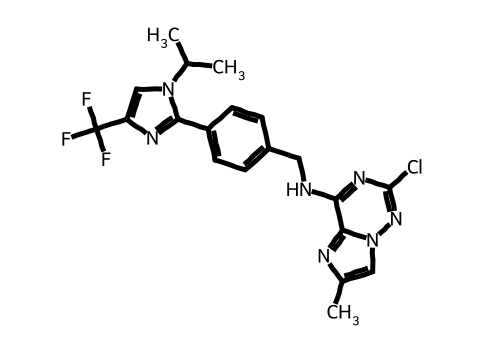 Cc1cn2nc(Cl)nc(NCc3ccc(-c4nc(C(F)(F)F)cn4C(C)C)cc3)c2n1